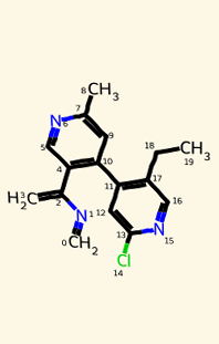 C=NC(=C)c1cnc(C)cc1-c1cc(Cl)ncc1CC